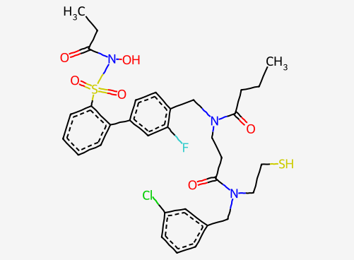 CCCC(=O)N(CCC(=O)N(CCS)Cc1cccc(Cl)c1)Cc1ccc(-c2ccccc2S(=O)(=O)N(O)C(=O)CC)cc1F